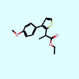 CCOC(=O)C(C)c1sccc1-c1ccc(OC)cc1